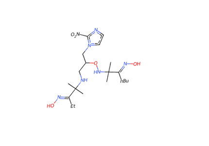 CCCC/C(=N\O)C(C)(C)NOC(CNC(C)(C)/C(CC)=N/O)Cn1ccnc1[N+](=O)[O-]